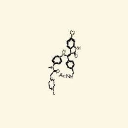 CC(=O)NCc1ccc(C(Nc2ccc(N(C)C(=O)CN3CCN(C)CC3)cc2)=C2C(=O)Nc3cc(Cl)ccc32)cc1